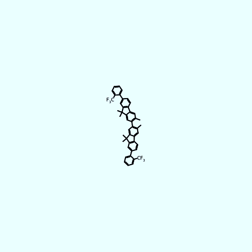 Cc1cc2c(cc1-c1cc3c(cc1C)-c1ccc(-c4ccccc4C(F)(F)F)cc1C3(C)C)C(C)(C)c1cc(-c3ccccc3C(F)(F)F)ccc1-2